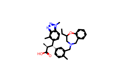 CCC1CN(Cc2cc([C@@H](c3ccc4c(nnn4C)c3C)[C@H](C)C(=O)O)ccc2C)Cc2ccccc2O1